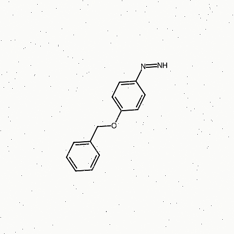 N=Nc1ccc(OCc2ccccc2)cc1